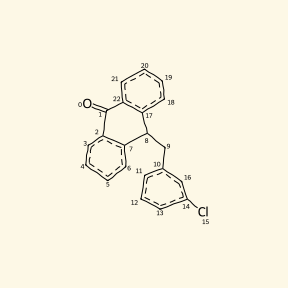 O=C1c2ccccc2C(Cc2cccc(Cl)c2)c2ccccc21